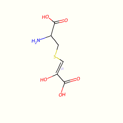 NC(CS/C=C(\O)C(=O)O)C(=O)O